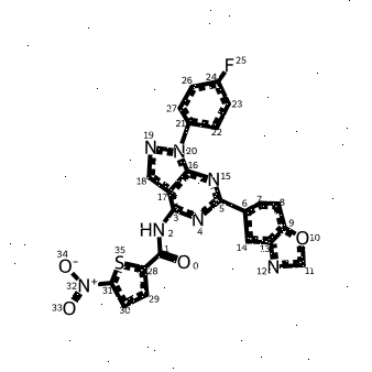 O=C(Nc1nc(-c2ccc3ocnc3c2)nc2c1cnn2-c1ccc(F)cc1)c1ccc([N+](=O)[O-])s1